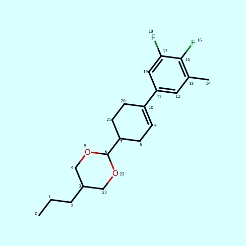 CCCC1COC(C2CC=C(c3cc(C)c(F)c(F)c3)CC2)OC1